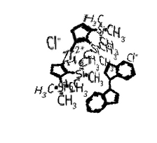 C1=CC(C2C=Cc3ccccc32)c2ccccc21.C[Si](C)(C)C1=CC[C]([Zr+2][C]2=C([Si](C)(C)C)C([Si](C)(C)C)=CC2)=C1[Si](C)(C)C.[Cl-].[Cl-]